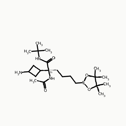 CC(=O)N[C@](CCCCB1OC(C)(C)C(C)(C)O1)(C(=O)NC(C)(C)C)C1CC(N)C1